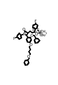 CC(C)(C)[Si](C)(C)OC(CCC1C(=O)N(c2ccc(F)cc2)C1c1ccc(OCCCCOCc2ccccc2)cc1OCc1ccccc1)c1ccc(F)cc1